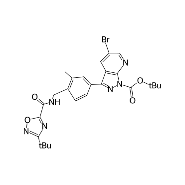 Cc1cc(-c2nn(C(=O)OC(C)(C)C)c3ncc(Br)cc23)ccc1CNC(=O)c1nc(C(C)(C)C)no1